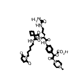 CN1CCN(C(=O)C(OC(=O)O)c2ccc(NC(=O)[C@H](CCCNC(N)=O)NC(=O)C3(C(=O)NCCCCCN4C(=O)C=CC4=O)CCC3)cc2)CC1